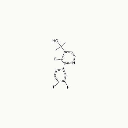 CC(C)(O)c1ccnc(-c2ccc(F)c(F)c2)c1F